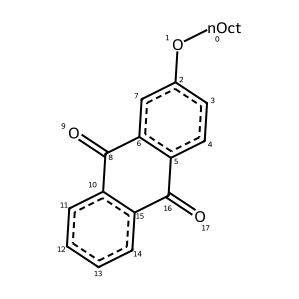 CCCCCCCCOc1ccc2c(c1)C(=O)c1ccccc1C2=O